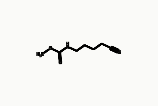 COC(=O)NCCCCC#N